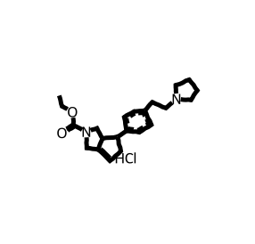 CCOC(=O)N1CC2=CCC(c3ccc(CCN4CCCC4)cc3)C2C1.Cl